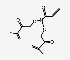 C=CC(=O)N(OCC(=O)C(=C)C)OCC(=O)C(=C)C